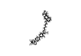 Cc1cc(N2CCN(C(=O)OC(C)(C)C)CC2)ccc1NCCCCCCSc1ccnc2cc(C(F)(F)F)ccc12